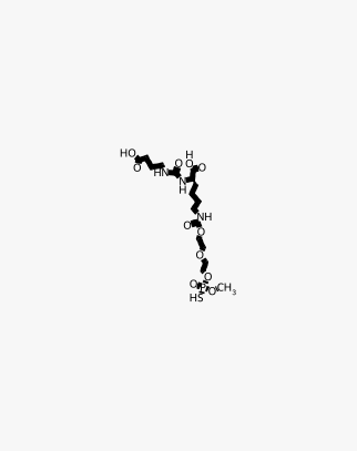 COP(=O)(S)OCCOCCOC(=O)NCCCC[C@@H](NC(=O)NCCCC(=O)O)C(=O)O